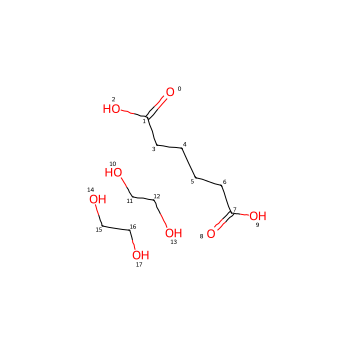 O=C(O)CCCCC(=O)O.OCCO.OCCO